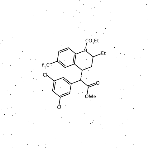 CCOC(=O)N1c2ccc(C(F)(F)F)cc2C(C(C(=O)OC)c2cc(Cl)cc(Cl)c2)CC1CC